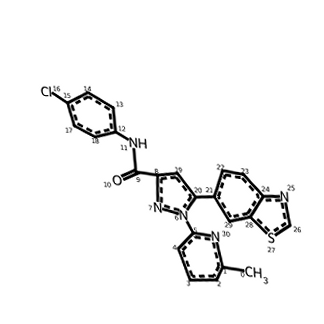 Cc1cccc(-n2nc(C(=O)Nc3ccc(Cl)cc3)cc2-c2ccc3ncsc3c2)n1